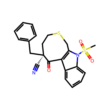 CS(=O)(=O)n1c2c(c3ccccc31)C(=O)[C@@](C#N)(Cc1ccccc1)CCSC2